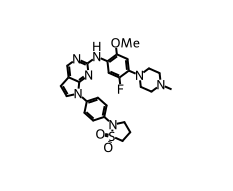 COc1cc(N2CCN(C)CC2)c(F)cc1Nc1ncc2ccn(-c3ccc(N4CCCS4(=O)=O)cc3)c2n1